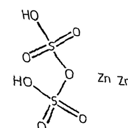 O=S(=O)(O)OS(=O)(=O)O.[Zn].[Zn]